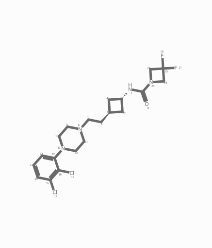 O=C(N[C@H]1C[C@H](CCN2CCN(c3cccc(Cl)c3Cl)CC2)C1)N1CC(F)(F)C1